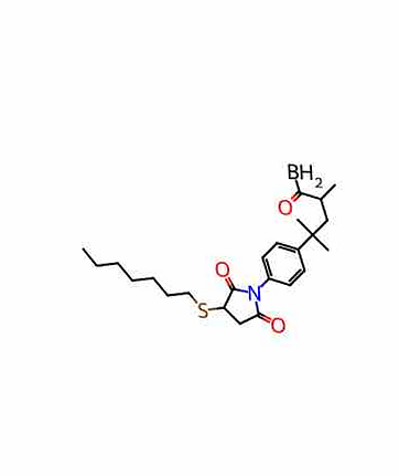 BC(=O)C(C)CC(C)(C)c1ccc(N2C(=O)CC(SCCCCCCC)C2=O)cc1